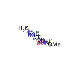 C=CCN1CCN(c2ccc(N3C[C@H](CNC(=S)OC)OC3=O)cc2F)C=N1